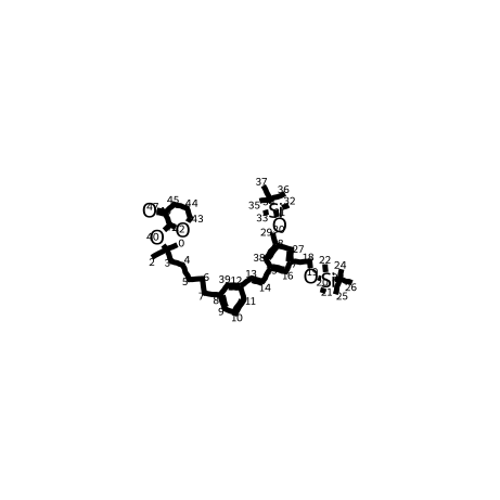 CC(C)(CCCCCc1cccc(C=Cc2cc(CO[Si](C)(C)C(C)(C)C)cc(CO[Si](C)(C)C(C)(C)C)c2)c1)OC1OCCCC1=O